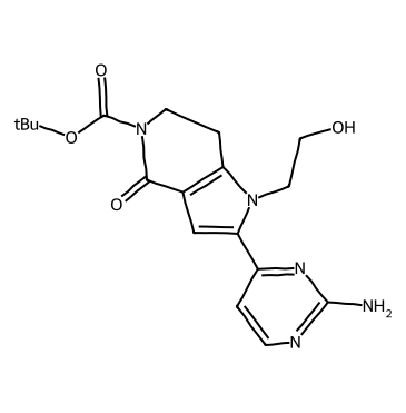 CC(C)(C)OC(=O)N1CCc2c(cc(-c3ccnc(N)n3)n2CCO)C1=O